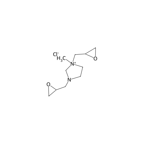 C[N+]1(CC2CO2)CCN(CC2CO2)C1.[Cl-]